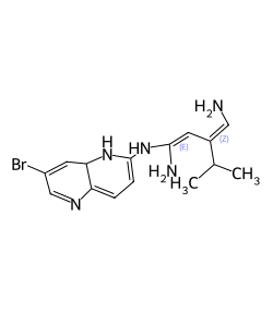 CC(C)C(=C/N)/C=C(\N)NC1=CC=C2N=CC(Br)=CC2N1